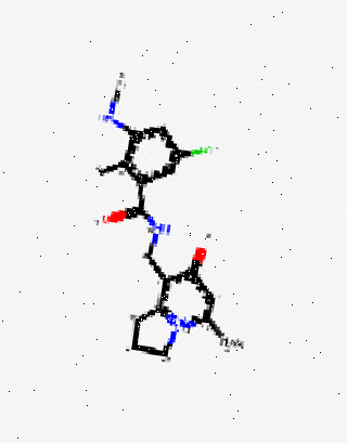 CCNc1cc(Cl)cc(C(=O)NCc2c3n(c(NC)cc2=O)CCC3)c1C